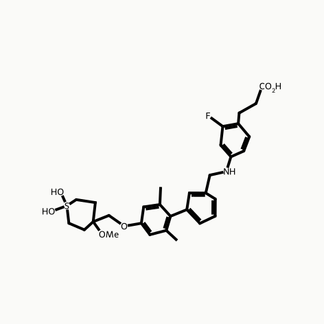 COC1(COc2cc(C)c(-c3cccc(CNc4ccc(CCC(=O)O)c(F)c4)c3)c(C)c2)CCS(O)(O)CC1